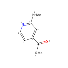 CNC(=O)c1ccnc(NC(C)=O)c1